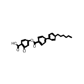 CCCCCCc1ccc(-c2ccc(C(=O)Oc3ccc(C(=O)O)c(Cl)c3)cc2)cc1